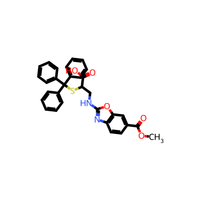 COC(=O)c1ccc2nc(NCC(SC(c3ccccc3)(c3ccccc3)c3ccccc3)C(=O)O)oc2c1